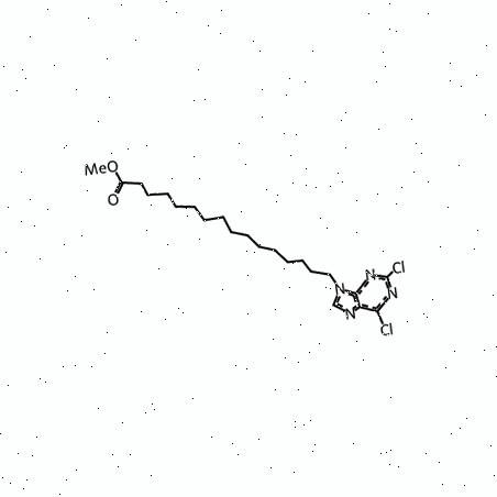 COC(=O)CCCCCCCCCCCCCCCn1cnc2c(Cl)nc(Cl)nc21